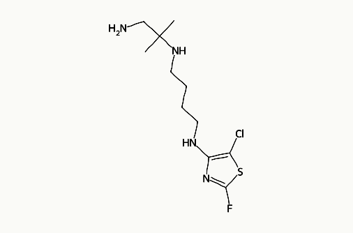 CC(C)(CN)NCCCCNc1nc(F)sc1Cl